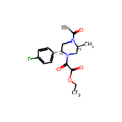 C[C@H]1CN(C(=O)C(=O)OCC(F)(F)F)[C@H](c2ccc(F)cc2)CN1C(=O)C(C)(C)C